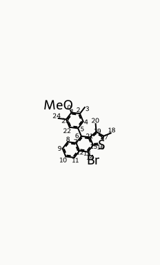 COc1c(C)cc(-c2c3ccccc3c(Br)c3sc(C)c(C)c23)cc1C